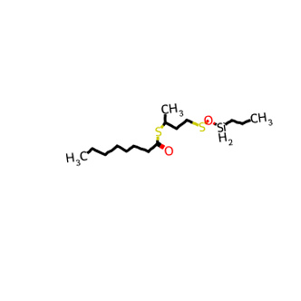 CCCCCCCC(=O)SC(C)CCSO[SiH2]CCC